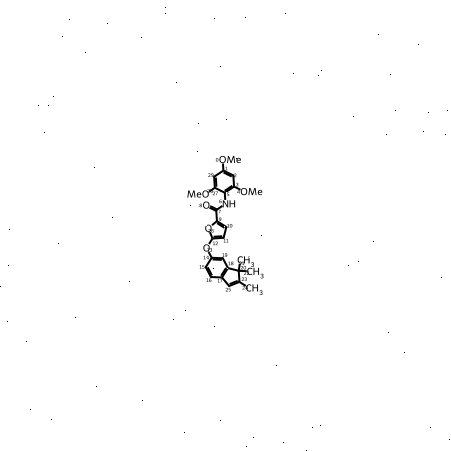 COc1cc(OC)c(NC(=O)c2ccc(Oc3ccc4c(c3)C(C)(C)C(C)=C4)o2)c(OC)c1